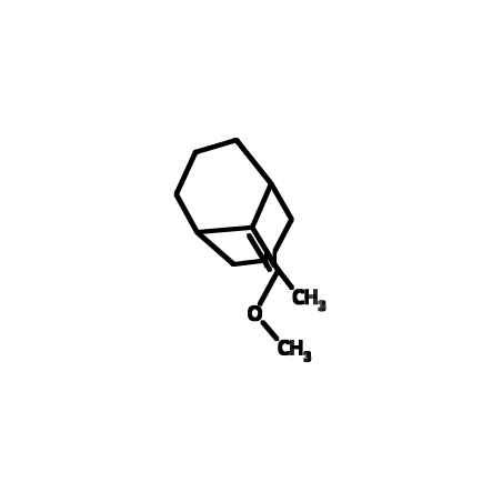 COC=C1C2CCCC1CN(C)C2